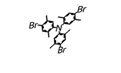 Cc1cc(N(c2cc(C)c(Br)cc2C)c2cc(C)c(Br)cc2C)c(C)cc1Br